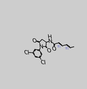 C/C=C/C=C/C(=O)NC1CC(=O)N(c2cc(Cl)cc(Cl)c2)C1=O